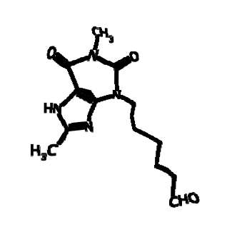 Cc1nc2c([nH]1)c(=O)n(C)c(=O)n2CCCCCC=O